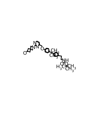 CC(C)(C)OC(=O)NCCc1ccc(C(C)(C)c2ccc(OCc3ccnc(N4CC5(CC(=O)C5)C4)n3)cc2)cc1